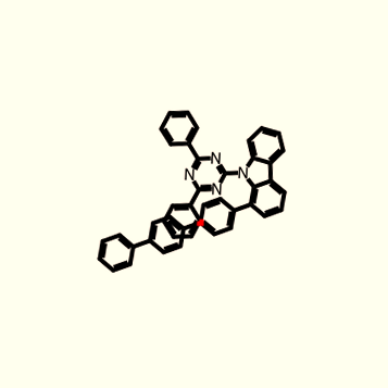 c1ccc(-c2ccc(-c3ccc(-c4cccc5c6ccccc6n(-c6nc(-c7ccccc7)nc(-c7ccccc7)n6)c45)cc3)cc2)cc1